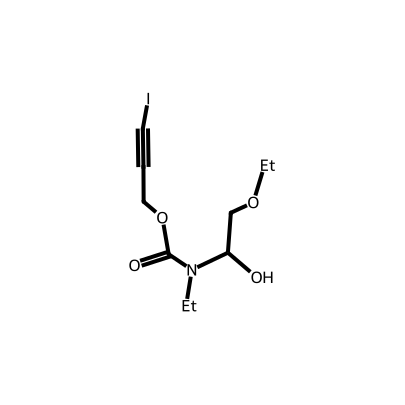 CCOCC(O)N(CC)C(=O)OCC#CI